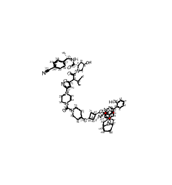 CC(C)[C@H](C(=O)N1C[C@H](O)C[C@H]1C(=O)N[C@@H](C)c1ccc(C#N)cc1)c1cc(N2CCN(C(=O)N3CCC(O[C@H]4C[C@H](Oc5cc(N6C7CCC6CN(c6cc(-c8ccccc8O)nnc6N)C7)ccn5)C4)CC3)CC2)no1